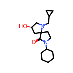 O=C1N(C2CCCCC2)CCC12C[C@@H](O)CN2CC1CC1